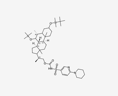 C[C@H]1C(O[Si](C)(C)C)[C@@H]2[C@H](CCC3(C)C([C@H](C)COC(=O)NS(=O)(=O)c4ccc(N5CCCCC5)nc4)CC[C@@H]23)C2(C)CCC(O[Si](C)(C)C(C)(C)C)CC12